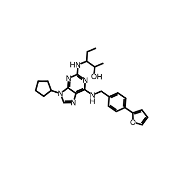 CCC(Nc1nc(NCc2ccc(-c3ccco3)cc2)c2ncn(C3CCCC3)c2n1)C(C)O